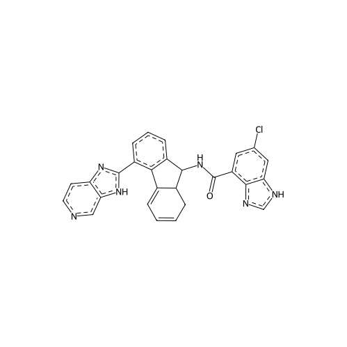 O=C(NC1c2cccc(-c3nc4ccncc4[nH]3)c2C2=CC=CCC21)c1cc(Cl)cc2[nH]cnc12